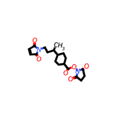 CC(CCN1C(=O)C=CC1=O)C1CCC(C(=O)ON2C(=O)CCC2=O)CC1